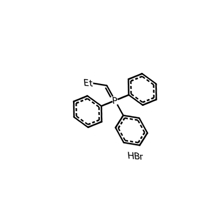 Br.CCC=P(c1ccccc1)(c1ccccc1)c1ccccc1